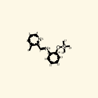 Cc1cccnc1C=Nc1ccccc1O[Si](C)(C)C